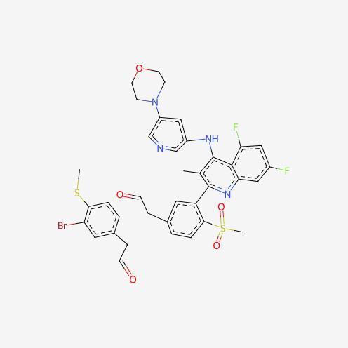 CSc1ccc(CC=O)cc1Br.Cc1c(-c2cc(CC=O)ccc2S(C)(=O)=O)nc2cc(F)cc(F)c2c1Nc1cncc(N2CCOCC2)c1